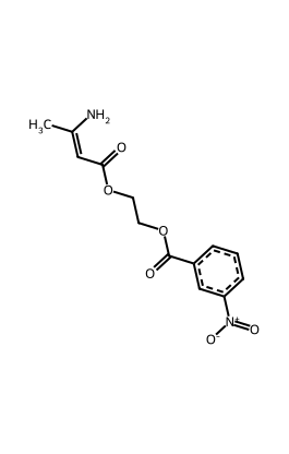 C/C(N)=C/C(=O)OCCOC(=O)c1cccc([N+](=O)[O-])c1